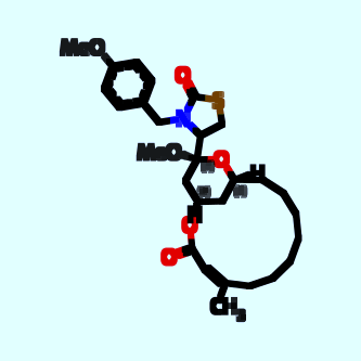 COc1ccc(CN2C(=O)SCC2[C@@]2(OC)C[C@H]3C[C@@H](CCCCCCCC(C)=CC(=O)O3)O2)cc1